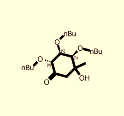 CCCCO[C@H]1[C@@H](OCCCC)C(C)(O)CC(=O)[C@@H]1OCCCC